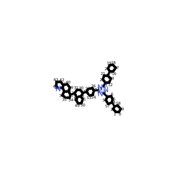 c1ccc(-c2ccc(-c3nc(-c4ccc(-c5ccccc5)cc4)nc(-c4ccc(-c5ccc(-c6cccc7c6ccc6cccnc67)c6ccccc56)cc4)n3)cc2)cc1